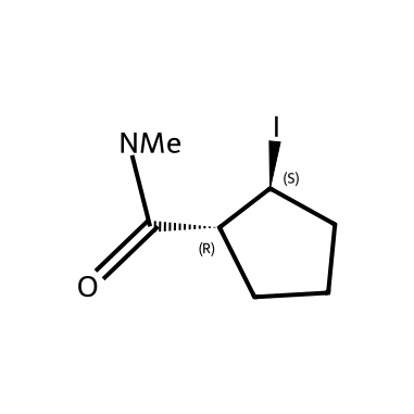 CNC(=O)[C@H]1CCC[C@@H]1I